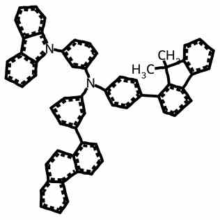 CC1(C)c2ccccc2-c2cccc(-c3ccc(N(c4cccc(-c5cccc6c5ccc5ccccc56)c4)c4cccc(-n5c6ccccc6c6ccccc65)c4)cc3)c21